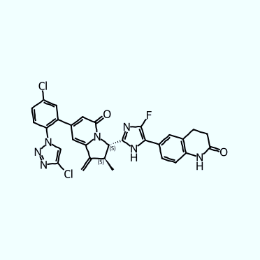 C=C1c2cc(-c3cc(Cl)ccc3-n3cc(Cl)nn3)cc(=O)n2[C@H](c2nc(F)c(-c3ccc4c(c3)CCC(=O)N4)[nH]2)[C@H]1C